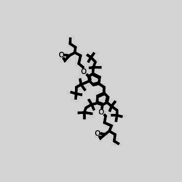 CCCC(CCCOc1c(C(C)(C)CC(C)(C)C)cc(Cc2cc(C(C)(C)CC(C)(C)C)c(OCCCC(CCC)C3CO3)c(C(C)(C)CC(C)(C)C)c2)cc1C(C)(C)CC(C)(C)C)C1CO1